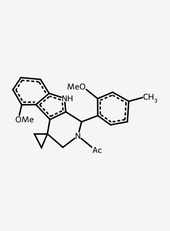 COc1cc(C)ccc1C1c2[nH]c3cccc(OC)c3c2C2(CC2)CN1C(C)=O